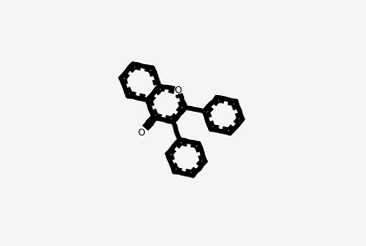 O=c1c(-c2ccccc2)c(-c2ccccc2)oc2ccccc12